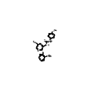 CC(C)(C)c1ccc(NC(=O)Nc2cc(Br)cnc2Oc2ccccc2C(C)(C)C)cc1